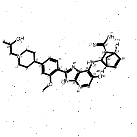 COc1cc(C2CCN(CC(C)O)CC2)ccc1-c1nc2c(N[C@H]3[C@@H](C(N)=O)[C@@H]4C=C[C@H]3C4)c(Cl)cnc2[nH]1